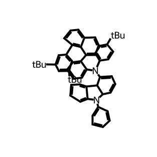 CC(C)(C)c1ccc(N(C2=CC=CC3C2c2ccccc2N3c2ccccc2)c2ccccc2-c2cccc3cccc(-c4cc(C(C)(C)C)cc(C(C)(C)C)c4)c23)cc1